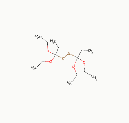 CCOC(CC)(OCC)SSC(CC)(OCC)OCC